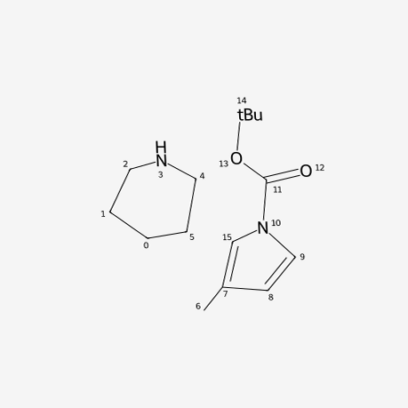 C1CCNCC1.Cc1ccn(C(=O)OC(C)(C)C)c1